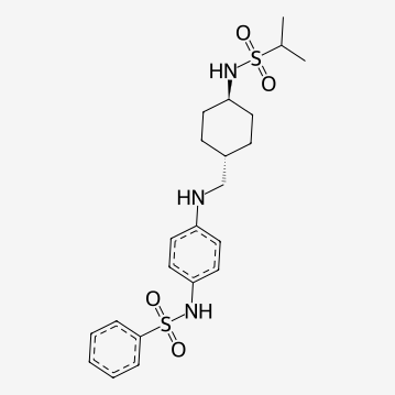 CC(C)S(=O)(=O)N[C@H]1CC[C@H](CNc2ccc(NS(=O)(=O)c3ccccc3)cc2)CC1